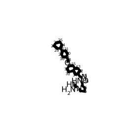 N=C(N)N1CCCC1C1NC(c2ccc3cc(OCc4ccc(-c5ccccc5)cc4)ccc3c2)=NO1